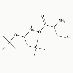 CC(C)CC(N)C(=O)O[SiH2]C(O[Si](C)(C)C)O[Si](C)(C)C